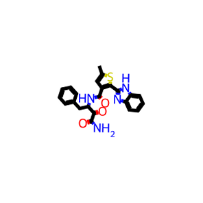 Cc1cc(C(=O)NC(Cc2ccccc2)C(=O)C(N)=O)c(-c2nc3ccccc3[nH]2)s1